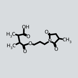 CC1CC(=O)N(CCCOC(=O)C(C)C(C)C(=O)O)C1=O